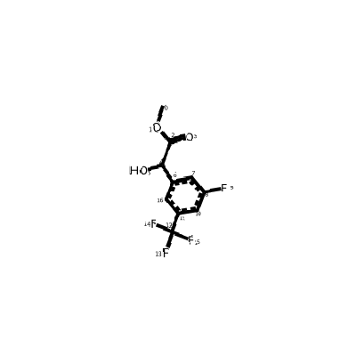 COC(=O)C(O)c1cc(F)cc(C(F)(F)F)c1